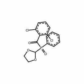 O=C(c1c(Cl)cccc1Cl)P(=O)(c1ccccc1)C1OCCO1